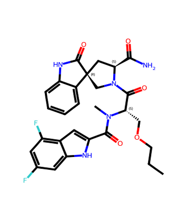 CCCOC[C@@H](C(=O)N1C[C@]2(C[C@H]1C(N)=O)C(=O)Nc1ccccc12)N(C)C(=O)c1cc2c(F)cc(F)cc2[nH]1